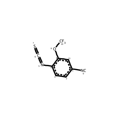 [C-]#[N+]c1ccc(N=C=S)c(OC(F)(F)F)c1